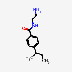 CCC(C)c1ccc(C(=O)NCCN)cc1